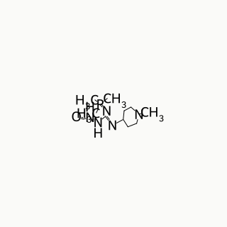 CN1CCC(N=C(N=P(C)(C)C)NNC=O)CC1